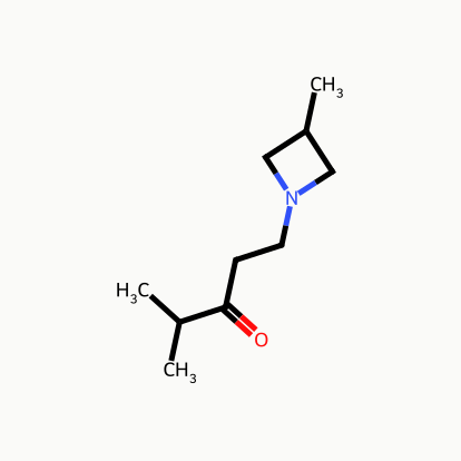 CC1CN(CCC(=O)C(C)C)C1